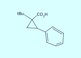 [CH2]C(C)(C)C1(C(=O)O)CC1c1ccccc1